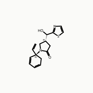 C=C[C@@]1(N2C[C@H](C(O)c3nccs3)CC2=O)C=CC=CC1